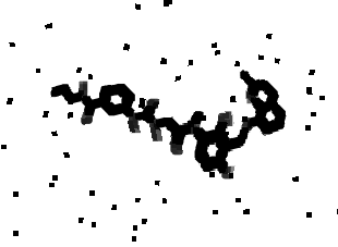 CCCNC(=O)c1cccc(NC(=O)NCC(=O)N(C)c2ccc(Cl)c(COc3cccc4ccc(C)nc34)c2Cl)c1